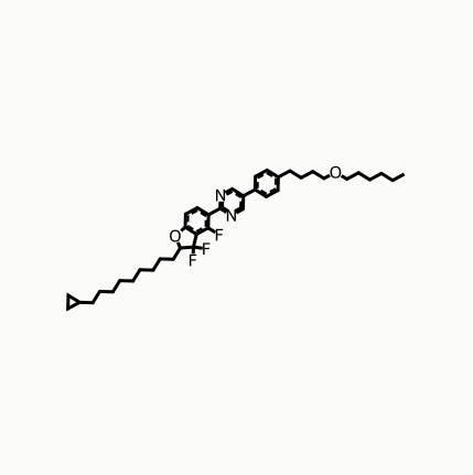 CCCCCCOCCCCc1ccc(-c2cnc(-c3ccc4c(c3F)C(F)(F)C(CCCCCCCCCC3CC3)O4)nc2)cc1